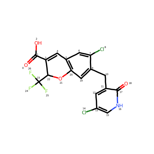 O=C(O)C1=Cc2cc(Cl)c(Cc3cc(Cl)c[nH]c3=O)cc2OC1C(F)(F)F